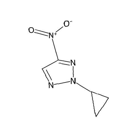 O=[N+]([O-])c1cnn(C2CC2)n1